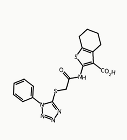 O=C(CSc1nnnn1-c1ccccc1)Nc1sc2c(c1C(=O)O)CCCC2